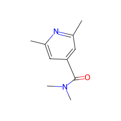 Cc1cc(C(=O)N(C)C)cc(C)n1